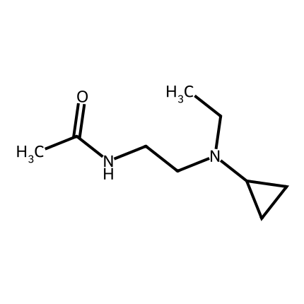 CCN(CCNC(C)=O)C1CC1